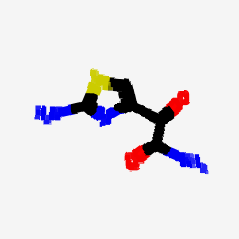 NC(=O)C(=O)c1csc(N)n1